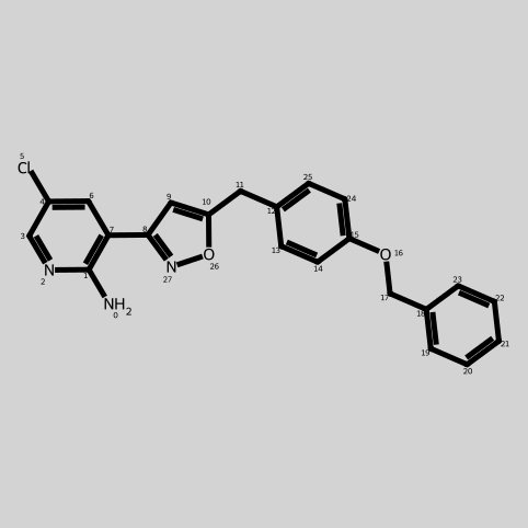 Nc1ncc(Cl)cc1-c1cc(Cc2ccc(OCc3ccccc3)cc2)on1